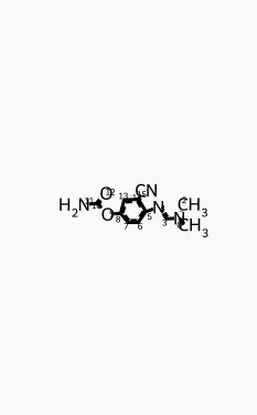 CN(C)C=Nc1ccc(OC(N)=O)cc1C#N